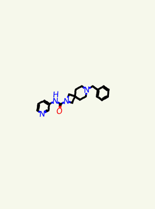 O=C(Nc1cccnc1)N1CC2(CCN(Cc3ccccc3)CC2)C1